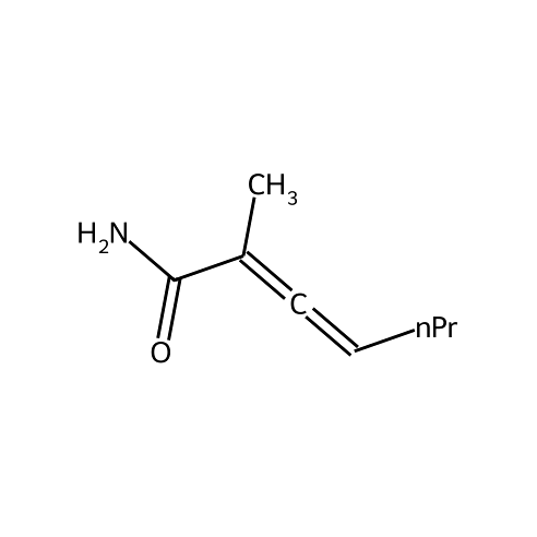 CCCC=C=C(C)C(N)=O